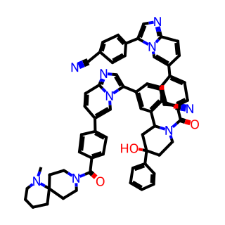 CN1CCCCC12CCN(C(=O)c1ccc(-c3ccc4ncc(-c5ccc(C#N)c(C6CC(O)(c7ccccc7)CCN6C(=O)c6ccc(-c7ccc8ncc(-c9ccc(C#N)cc9)n8c7)cc6)c5)n4c3)cc1)CC2